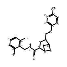 N#Cc1cnc(OCC2CC(C(=O)NCc3c(F)cccc3F)C3CC2C3)cn1